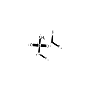 CS(=O)(=O)OF.FCF